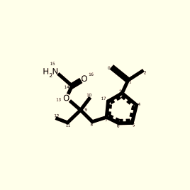 C=C(C)c1cccc(CC(C)(CC)OC(N)=O)c1